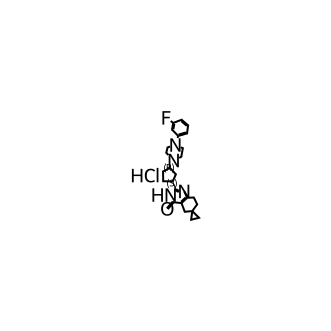 Cl.O=c1[nH]c([C@H]2CC[C@@H](N3CCN(c4cccc(F)c4)CC3)C2)nc2c1CC1(CC2)CC1